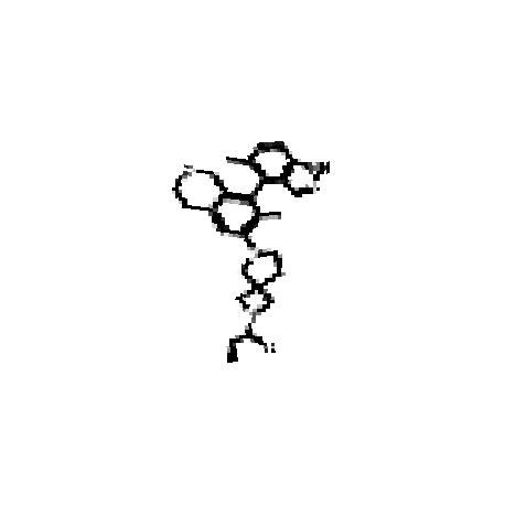 C=CC(=O)N1CC2(CCN(c3cc4c(c(-c5c(C)ccc6[nH]ncc56)c3C)COCC4)C2)C1